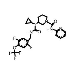 O=C(Nc1ccccn1)N1CCCC(N(C(=O)NCc2cc(F)c(OC(F)(F)F)cc2F)C2CC2)C1